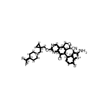 N#Cc1c(N)sc2c(F)ccc(-c3c4c(c5cnc(OCC6(CN7CCC(=C(F)F)CC7)CC6)nc5c3Cl)COC4)c12